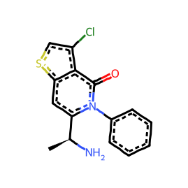 C[C@H](N)c1cc2scc(Cl)c2c(=O)n1-c1ccccc1